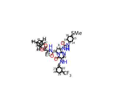 CC[C@H](NC(=O)[C@@H]1C[C@@](C)(NC(=O)Nc2ccc(SC)cc2)c2ncc(NCc3cccc(C(F)(F)F)c3)c(=O)n21)B1O[C@@H]2C[C@@H]3C[C@@H](C3(C)C)[C@]2(C)O1